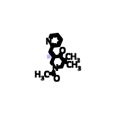 CC(=O)N1C/C(=C/c2ccccn2)C(=O)C(C)(C)C1